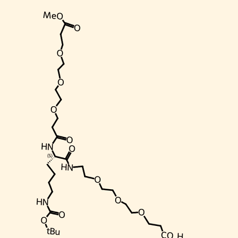 COC(=O)CCOCCOCCOCCC(=O)N[C@@H](CCCCNC(=O)OC(C)(C)C)C(=O)NCCOCCOCCOCCC(=O)O